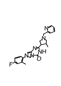 Cc1cc(F)ccc1N1C=C2N=C(C3CN(Cc4ccccn4)CC3C)NC(=O)N2C1